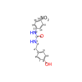 O=C(NCCc1ccc(O)cc1)Nc1ccc([N+](=O)[O-])cc1